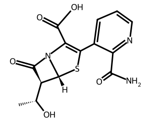 C[C@@H](O)[C@H]1C(=O)N2C(C(=O)O)=C(c3cccnc3C(N)=O)S[C@H]12